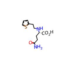 NC(=O)CC[C@H](NCCc1cccs1)C(=O)O